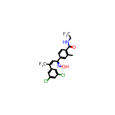 Cc1cc(C(/C=C(\c2cc(Cl)cc(Cl)c2)C(F)(F)F)=NO)ccc1C(=O)NCC(F)(F)F